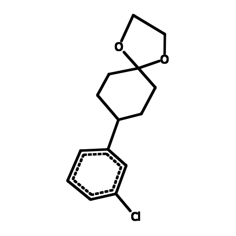 Clc1cccc(C2CCC3(CC2)OCCO3)c1